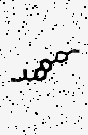 CCCCCCC1CCC(c2ccc3cc(OC(=O)CCCCC)ccc3c2)CC1